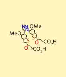 COc1cc2cc(C(=O)CCC(=O)O)sc2cc1-c1cnnn1-c1cc2sc(C(=O)CCC(=O)O)cc2cc1OC